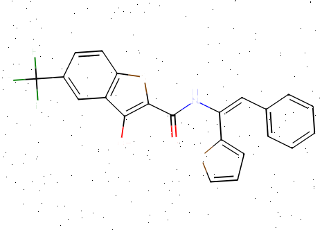 O=C(NC(=Cc1ccccc1)c1cccs1)c1sc2ccc(C(F)(F)F)cc2c1O